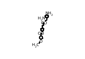 C=CCOC1CCC(C(=O)Oc2ccc(/C=C/C(=O)OCCc3ccc(N)cc3N)cc2)CC1